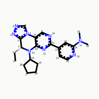 CC[C@@H]1c2nncn2-c2cnc(-c3ccnc(N(C)C)c3)nc2N1C1CCCC1